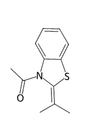 CC(=O)N1C(=C(C)C)Sc2ccccc21